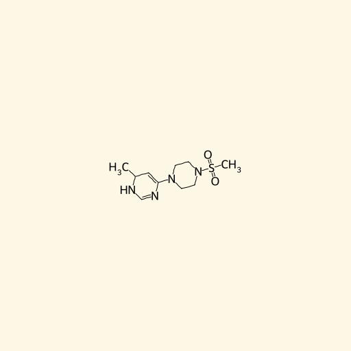 CC1C=C(N2CCN(S(C)(=O)=O)CC2)N=CN1